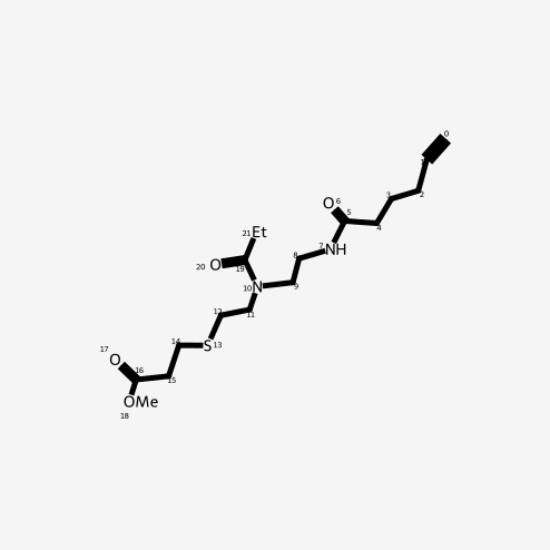 C#CCCCC(=O)NCCN(CCSCCC(=O)OC)C(=O)CC